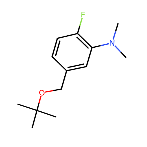 CN(C)c1cc(COC(C)(C)C)ccc1F